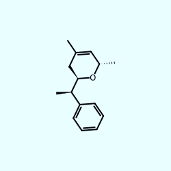 CC1=C[C@H](C)O[C@@H]([C@H](C)c2ccccc2)C1